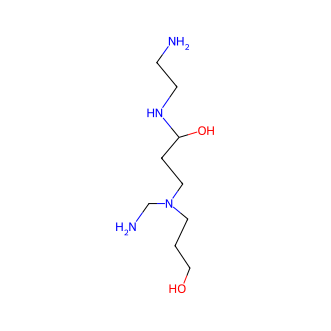 NCCNC(O)CCN(CN)CCCO